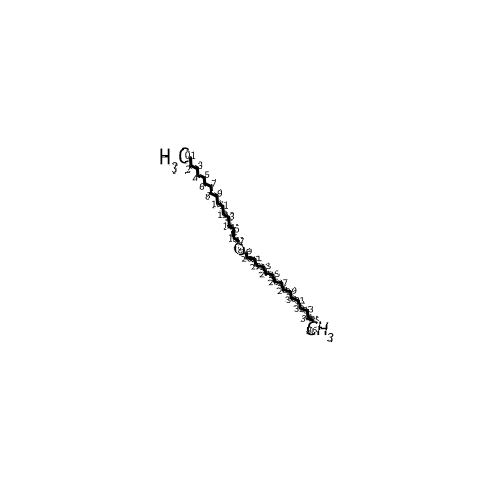 CCCCCCCCCCCCCCCC=CCOCC=CCCCCCCCCCCCCCCC